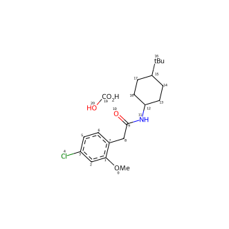 COc1cc(Cl)ccc1CC(=O)NC1CCC(C(C)(C)C)CC1.O=C(O)O